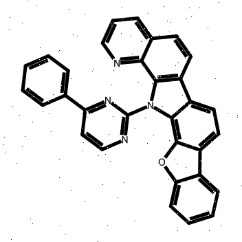 c1ccc(-c2ccnc(-n3c4c(ccc5cccnc54)c4ccc5c6ccccc6oc5c43)n2)cc1